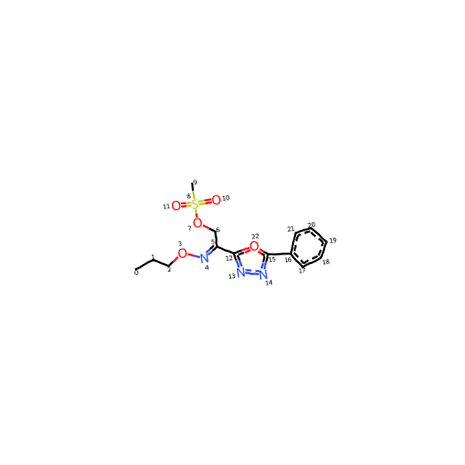 CCCON=C(COS(C)(=O)=O)c1nnc(-c2ccccc2)o1